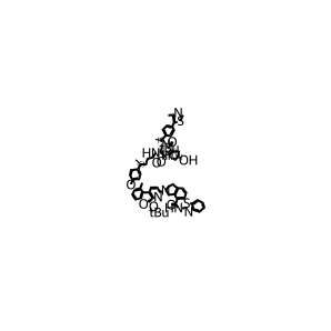 Cc1ncsc1-c1ccc([C@H](C)NC(=O)[C@@H]2C[C@@H](O)CN2C(=O)[C@@H](NC(=O)CC[C@H](C)c2ccc(Oc3cccc(-c4ccc(N5CCc6cccc(C(=O)Nc7nc8ccccc8s7)c6C5)nc4C(=O)OC(C)(C)C)c3C)cc2)C(C)(C)C)cc1